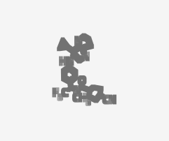 CN(C(=O)C1CCC(C#N)CC1)[C@H](c1ccc(Nc2cnc3cccnc3c2C2CC2)cc1)C(F)(F)F